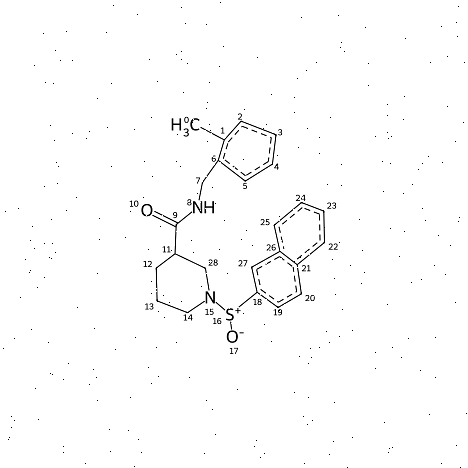 Cc1ccccc1CNC(=O)C1CCCN([S+]([O-])c2ccc3ccccc3c2)C1